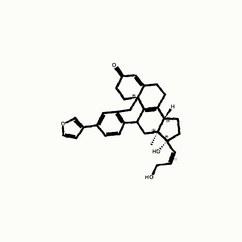 C[C@]12CC3C4=C(CCC5=CC(=O)CC[C@@]54Cc4cc(-c5ccoc5)ccc43)[C@@H]1CC[C@@]2(O)/C=C\CO